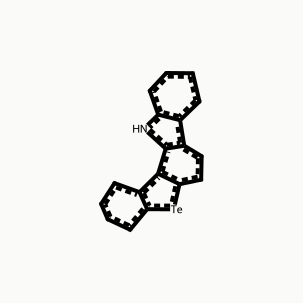 c1ccc2c(c1)[nH]c1c2ccc2[te]c3ccccc3c21